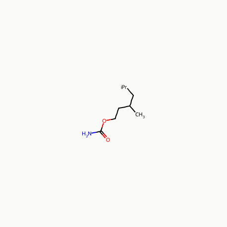 CC(C)CC(C)CCOC(N)=O